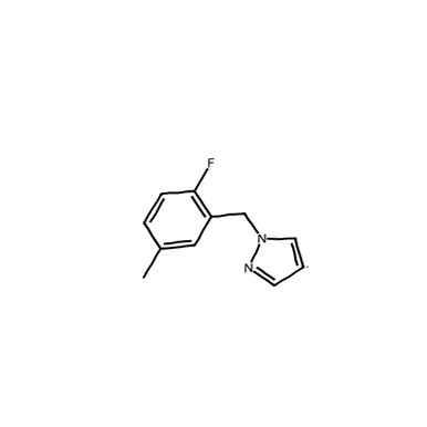 Cc1ccc(F)c(Cn2c[c]cn2)c1